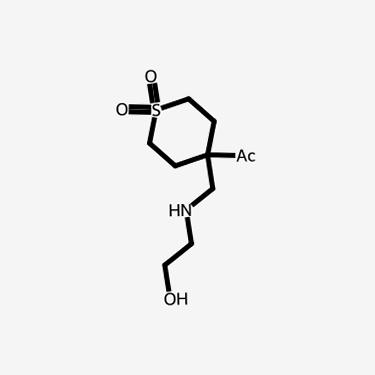 CC(=O)C1(CNCCO)CCS(=O)(=O)CC1